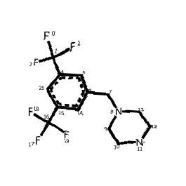 FC(F)(F)c1cc(CN2CC[N]CC2)cc(C(F)(F)F)c1